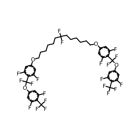 Fc1cc(OC(F)(F)c2c(F)cc(OCCCCCCC(F)(F)CCCCCCOc3cc(F)c(C(F)(F)Oc4cc(F)c(C(F)(F)F)c(F)c4)c(F)c3)cc2F)cc(F)c1C(F)(F)F